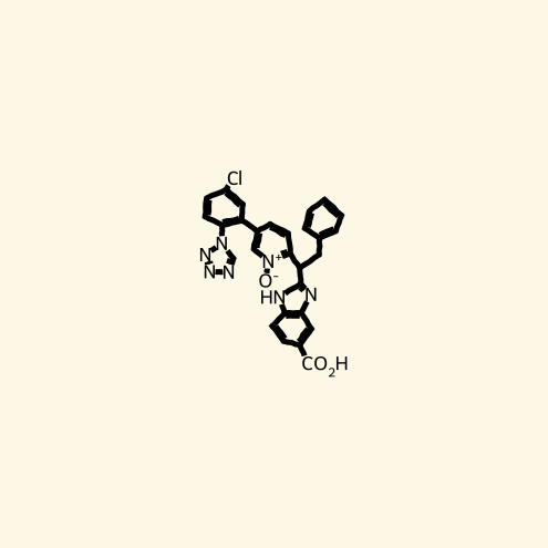 O=C(O)c1ccc2[nH]c(C(Cc3ccccc3)c3ccc(-c4cc(Cl)ccc4-n4cnnn4)c[n+]3[O-])nc2c1